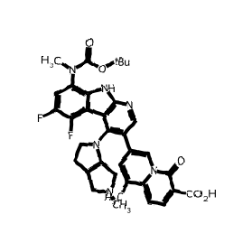 Cc1cc(-c2cnc3[nH]c4c(N(C)C(=O)OC(C)(C)C)cc(F)c(F)c4c3c2N2CCC3CN(C)CC32)cn2c(=O)c(C(=O)O)ccc12